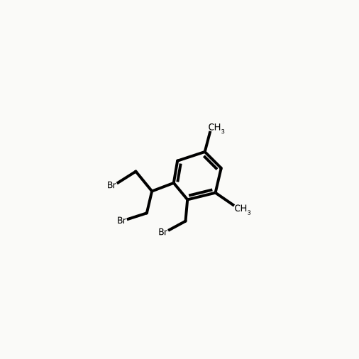 Cc1cc(C)c(CBr)c(C(CBr)CBr)c1